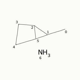 CC1C2CCC12.N